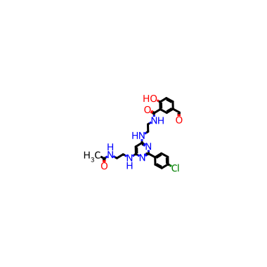 CC(=O)NCCNc1cc(NCCNC(=O)c2cc(C=O)ccc2O)nc(-c2ccc(Cl)cc2)n1